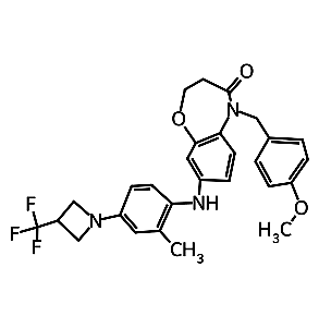 COc1ccc(CN2C(=O)CCOc3cc(Nc4ccc(N5CC(C(F)(F)F)C5)cc4C)ccc32)cc1